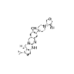 Cc1cc2cnc(Nc3cnn(C4CC4)c3C)nc2cc1N1CCN([C@H]2COC[C@H]2O)CC1